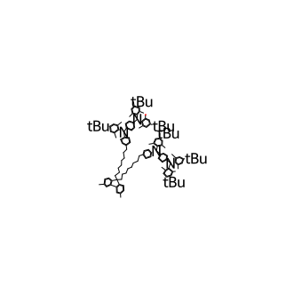 Cc1ccc2c(c1)-c1cc(C)ccc1C2(CCCCCCCCc1ccc(N(c2ccc(N(c3c(C)cc(C(C)(C)C)cc3C)c3c(C)cc(C(C)(C)C)cc3C)cc2)c2c(C)cc(C(C)(C)C)cc2C)cc1)CCCCCCCCc1ccc(N(c2ccc(N(c3c(C)cc(C(C)(C)C)cc3C)c3c(C)cc(C(C)(C)C)cc3C)cc2)c2c(C)cc(C(C)(C)C)cc2C)cc1